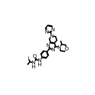 CC(I)NC(=O)Nc1ccc(-c2nc3c(c(N4CCOCC4C)n2)CCN(c2ncccn2)C3)cc1